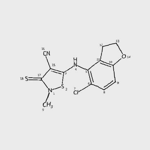 Cn1sc(Nc2c(Cl)ccc3c2CCO3)c(C#N)c1=S